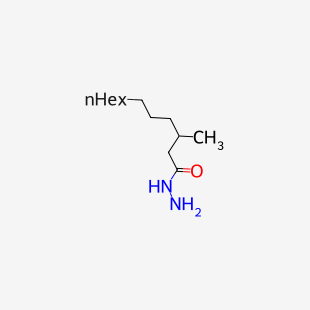 CCCCCCCCCC(C)CC(=O)NN